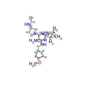 COc1ccc(CNc2nc(NC(C)(C)C)nc(N3CCC(NC=O)C3)c2N)cc1